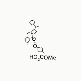 COC(Cc1ccc(OCCOC2c3ccc(C(C)c4ccccc4)cc3C=Cc3ccc(C)cc32)cc1)C(=O)O